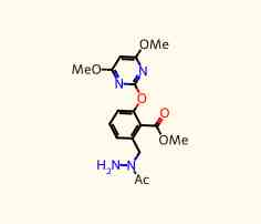 COC(=O)c1c(CN(N)C(C)=O)cccc1Oc1nc(OC)cc(OC)n1